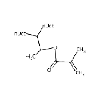 [CH2]C(OC(=O)C(=C)C)C(CCCCCCCC)CCCCCCCC